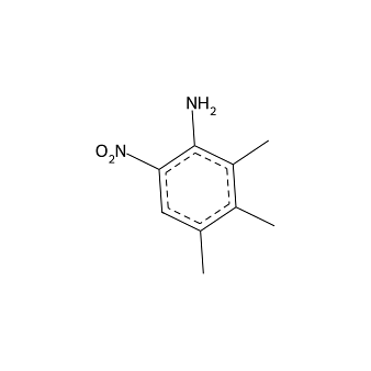 Cc1cc([N+](=O)[O-])c(N)c(C)c1C